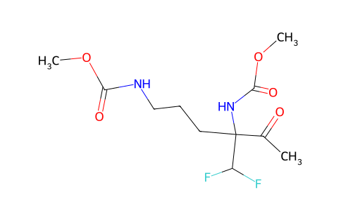 COC(=O)NCCCC(NC(=O)OC)(C(C)=O)C(F)F